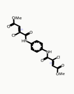 COC(=O)/C=C(\Cl)C(=O)Nc1ccc(NC(=O)/C(Cl)=C/C(=O)OC)cc1